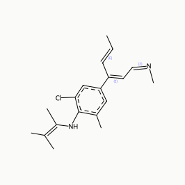 C/C=C/C(=C\C=N/C)c1cc(C)c(NC(C)=C(C)C)c(Cl)c1